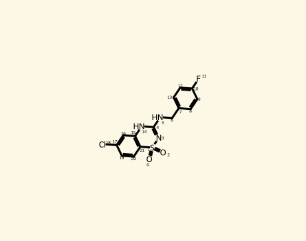 O=S1(=O)N=C(NCc2ccc(F)cc2)Nc2cc(Cl)ccc21